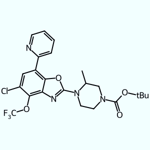 CC1CN(C(=O)OC(C)(C)C)CCN1c1nc2c(OC(F)(F)F)c(Cl)cc(-c3ccccn3)c2o1